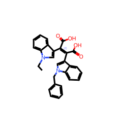 CCn1cc(/C(C(=O)O)=C(/C(=O)O)c2cn(Cc3ccccc3)c3ccccc23)c2ccccc21